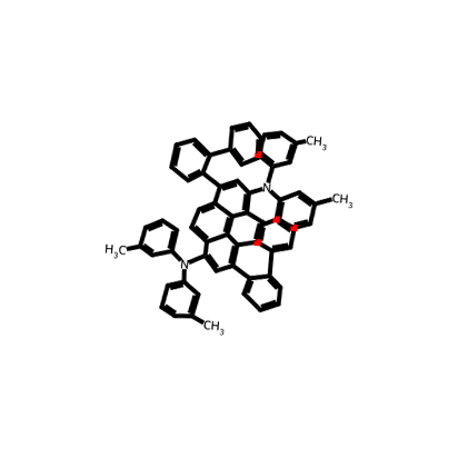 Cc1cccc(N(c2cccc(C)c2)c2cc(-c3ccccc3-c3ccccc3)c3ccc4c(N(c5cccc(C)c5)c5cccc(C)c5)cc(-c5ccccc5-c5ccccc5)c5ccc2c3c54)c1